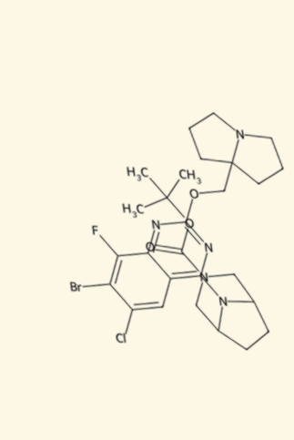 CC(C)(C)OC(=O)N1CC2CCC(C1)N2c1nc(OCC23CCCN2CCC3)nc2c(F)c(Br)c(Cl)cc12